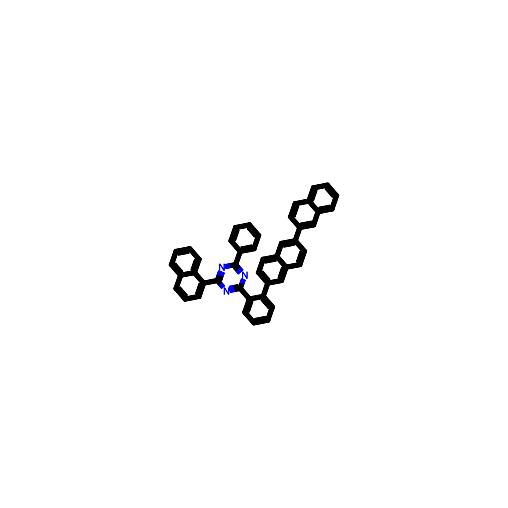 c1ccc(-c2nc(-c3ccccc3-c3ccc4cc(-c5ccc6ccccc6c5)ccc4c3)nc(-c3cccc4ccccc34)n2)cc1